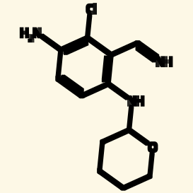 N=Cc1c(NC2CCCCO2)ccc(N)c1Cl